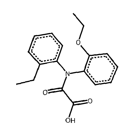 CCOc1ccccc1N(C(=O)C(=O)O)c1ccccc1CC